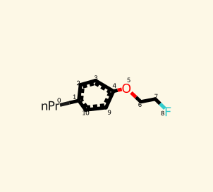 CCCc1ccc(OCCF)cc1